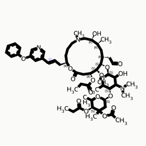 CCC(=O)O[C@@H]1CC(=O)O[C@@H](C/C=C/c2cncc(Oc3ccccc3)c2)CCCN(C)C[C@H](O)[C@H](C)C[C@H](CC=O)[C@H](O[C@@H]2OC(C)[C@@H](O[C@H]3CC(C)(OC(C)=O)[C@@H](OC(=O)CC)C(C)O3)C(N(C)C)C2O)[C@H]1OC